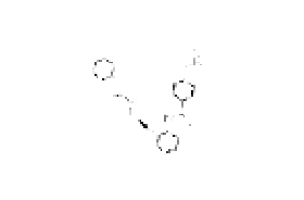 O=C(NCC#Cc1ccccc1NC(=O)c1ccc(C[N+](=O)[O-])cc1)Oc1ccccc1